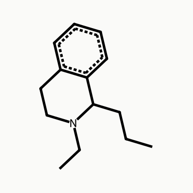 CCCC1c2ccccc2CCN1CC